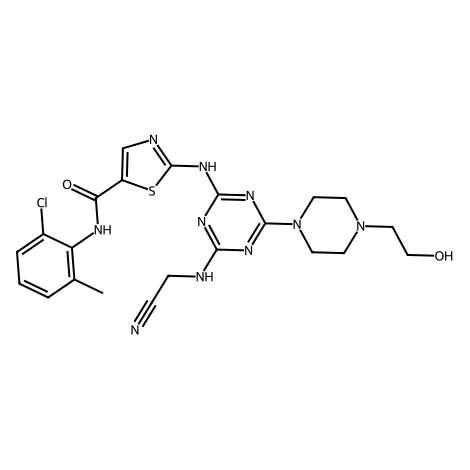 Cc1cccc(Cl)c1NC(=O)c1cnc(Nc2nc(NCC#N)nc(N3CCN(CCO)CC3)n2)s1